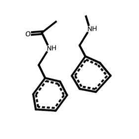 CC(=O)NCc1ccccc1.CNCc1ccccc1